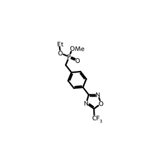 CCOP(=O)(Cc1ccc(-c2noc(C(F)(F)F)n2)cc1)OC